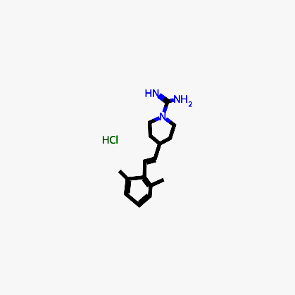 Cc1cccc(C)c1C=CC1CCN(C(=N)N)CC1.Cl